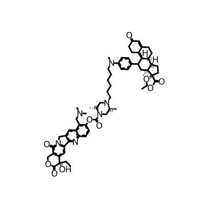 CC[C@@]1(O)C(=O)OCc2c1cc1n(c2=O)Cc2cc3c(CN(C)C)c(OC(=O)N4C[C@H](C)N(CCCCCCN(C)c5ccc(C6C[C@@]7(C)[C@@H](CC[C@]7(OC(C)=O)C(C)=O)[C@@H]7CCC8=CC(=O)CCC8=C67)cc5)C[C@H]4C)ccc3nc2-1